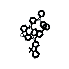 CC1(C)c2ccccc2-c2ccc(N(c3ccc(-c4ccccc4)cc3)c3ccc4oc5cccc(N(c6ccccc6)c6cccc(N(c7ccccc7)c7ccccc7)c6)c5c4c3)cc21